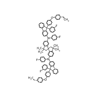 C=Cc1ccc(Oc2ccc(C3(c4cccc(F)c4)c4ccccc4-c4ccc(N(c5ccc(F)cc5)c5ccc6c(c5)C5(CC6(C)C)CC(C)(C)c6ccc(N(c7ccc(F)cc7)c7ccc8c(c7)C(c7ccc(Oc9ccc(C=C)cc9)cc7)(c7cccc(F)c7)c7ccccc7-8)cc65)cc43)cc2)cc1